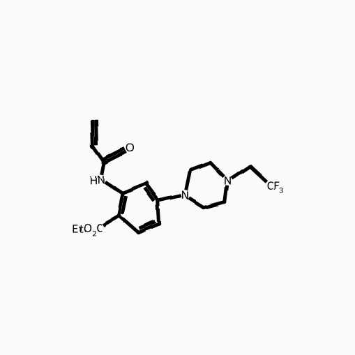 C=CC(=O)Nc1cc(N2CCN(CC(F)(F)F)CC2)ccc1C(=O)OCC